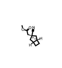 COC(=O)C[C@]1(C#N)C[C@H]2CC[C@H]2C1